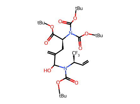 C=C[C@@H](N(C(=O)OC(C)(C)C)C(O)C(=C)C[C@@H](C(=O)OC(C)(C)C)N(C(=O)OC(C)(C)C)C(=O)OC(C)(C)C)C(F)(F)F